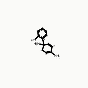 CC(C)c1ccccc1C1(N)C=CC(N)=CC1